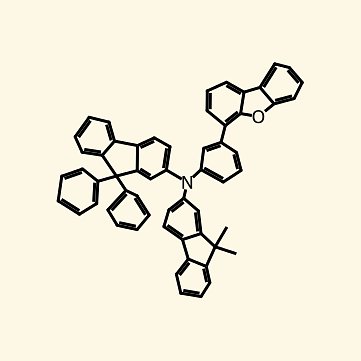 CC1(C)c2ccccc2-c2ccc(N(c3cccc(-c4cccc5c4oc4ccccc45)c3)c3ccc4c(c3)C(c3ccccc3)(c3ccccc3)c3ccccc3-4)cc21